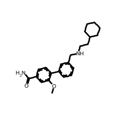 COc1cc(C(N)=O)ccc1-c1cccc(CNCCC2CCCCC2)c1